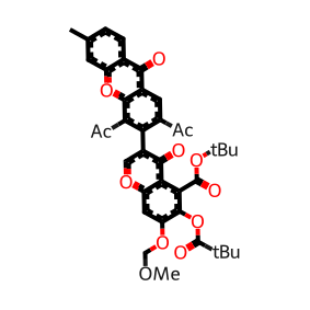 COCOc1cc2occ(-c3c(C(C)=O)cc4c(=O)c5ccc(C)cc5oc4c3C(C)=O)c(=O)c2c(C(=O)OC(C)(C)C)c1OC(=O)C(C)(C)C